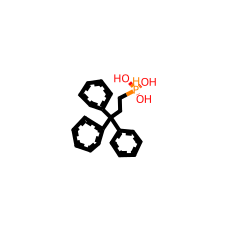 O[PH](O)(O)CCC(c1ccccc1)(c1ccccc1)c1ccccc1